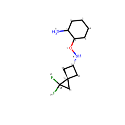 NC1CCCCC1ON[C@H]1C[C@]2(CC2(F)F)C1